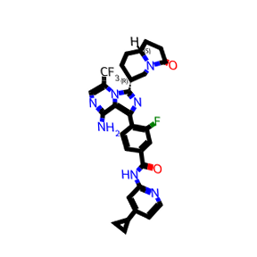 Nc1ncc(C(F)(F)F)n2c([C@@H]3CC[C@H]4CCC(=O)N4C3)nc(-c3ccc(C(=O)Nc4cc(C5CC5)ccn4)cc3F)c12